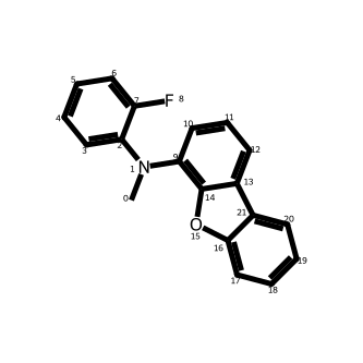 CN(c1ccccc1F)c1cccc2c1oc1ccccc12